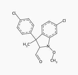 CON1c2cc(Cl)ccc2C(C)(c2ccc(Cl)cc2)C1C=O